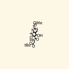 COOSc1ncc2c(O)c(C(=O)NCC(=O)OC(C)(C)C)c(=O)n(C)c2n1